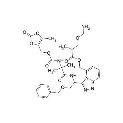 Cc1oc(=O)oc1COC(=O)NC(C)(C)C(=O)NC(COCc1ccccc1)c1nnc2cccc(COC(=O)C(C)COCN)n12